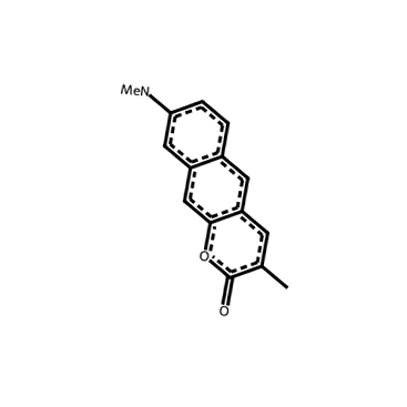 CNc1ccc2cc3cc(C)c(=O)oc3cc2c1